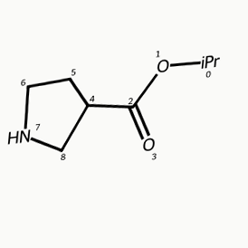 CC(C)OC(=O)C1CCNC1